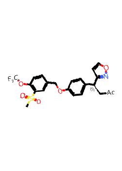 CC(=O)C[C@@H](c1ccc(OCc2ccc(OC(F)(F)F)c(S(C)(=O)=O)c2)cc1)c1ccon1